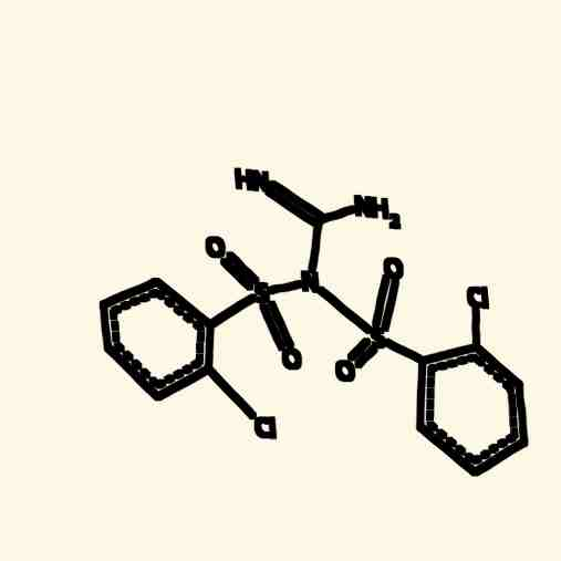 N=C(N)N(S(=O)(=O)c1ccccc1Cl)S(=O)(=O)c1ccccc1Cl